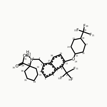 CN(Cc1cccc2c(C(F)(F)F)c(OC3CCC(C(F)(F)F)CC3)ccc12)C1(C(=O)O)CCCCC1